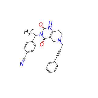 CC(c1ccc(C#N)cc1)n1c(=O)[nH]c2c(c1=O)CN(CC#Cc1ccccc1)CC2